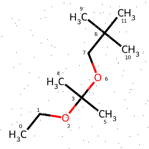 CCOC(C)(C)OCC(C)(C)C